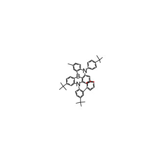 Cc1ccc2c(c1)B1c3ccc(C(C)(C)C)cc3N(c3ccc(C(C)(C)C)cc3-c3ccccc3)c3cc(C)cc(c31)N2c1ccc(C(C)(C)C)cc1